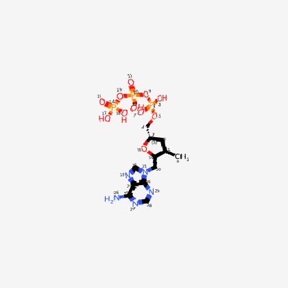 CC1C[C@@H](COP(=O)(O)OP(=O)(O)OP(=O)(O)O)OC1Cn1cnc2c(N)ncnc21